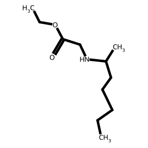 CCCCCC(C)NCC(=O)OCC